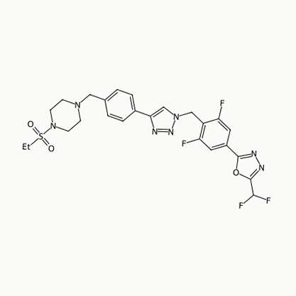 CCS(=O)(=O)N1CCN(Cc2ccc(-c3cn(Cc4c(F)cc(-c5nnc(C(F)F)o5)cc4F)nn3)cc2)CC1